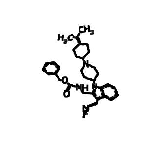 CC(C)=C1CCC(N2CCC(n3c(CNC(=O)OCc4ccccc4)c(C=NF)c4ccccc43)CC2)CC1